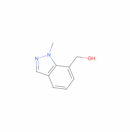 Cn1ncc2[c]ccc(CO)c21